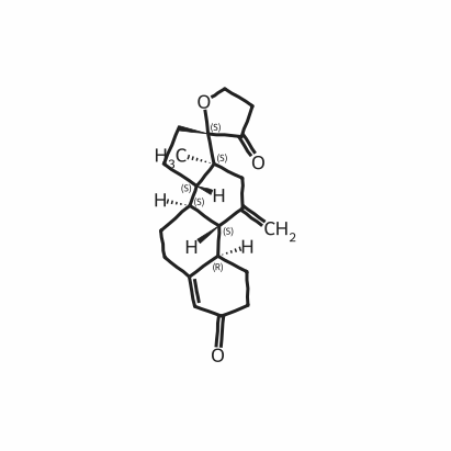 C=C1C[C@@]2(C)[C@@H](CC[C@]23OCCC3=O)[C@@H]2CCC3=CC(=O)CC[C@@H]3[C@@H]12